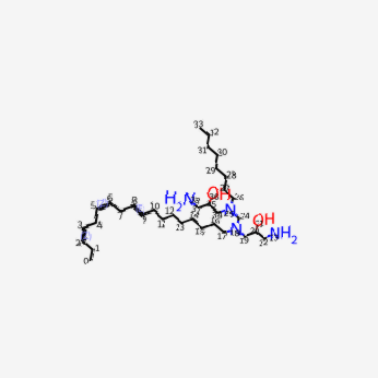 CC/C=C\C/C=C\C/C=C/CCCCCCCCN(CC(O)CN)CN(CCCCCCCC)CC(O)CN